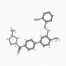 N#Cc1ccccc1COc1cc(-c2ccc(C(=O)N3CCC(N)C3)cc2)cnc1N